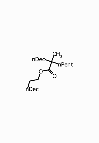 CCCCCCCCCCCCOC(=O)C(C)(CCCCC)CCCCCCCCCC